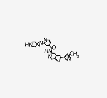 Cn1cc(C2C=c3cc(NC(=O)c4ccnc(N5CC6(CCNCC6)C5)c4)ncc3=CC2)cn1